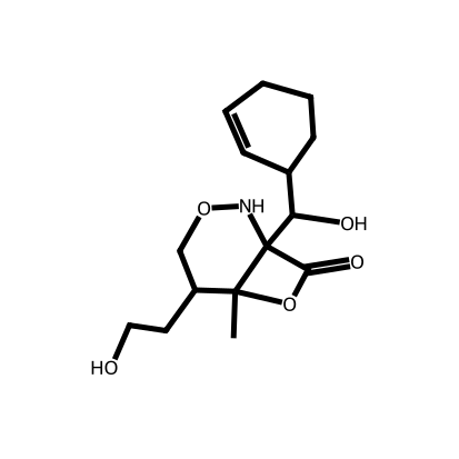 CC12OC(=O)C1(C(O)C1C=CCCC1)NOCC2CCO